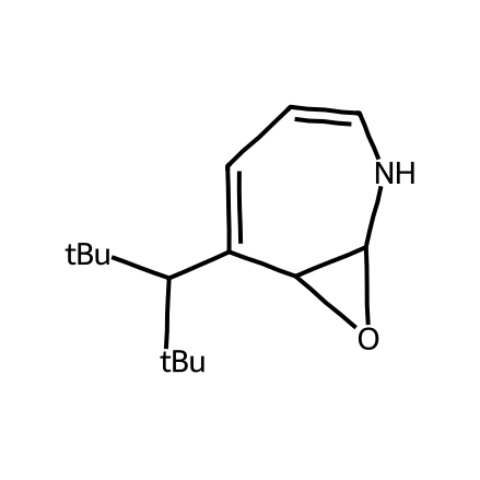 CC(C)(C)C(C1=CC=CNC2OC12)C(C)(C)C